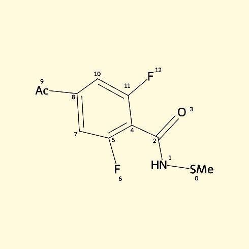 CSNC(=O)c1c(F)cc(C(C)=O)cc1F